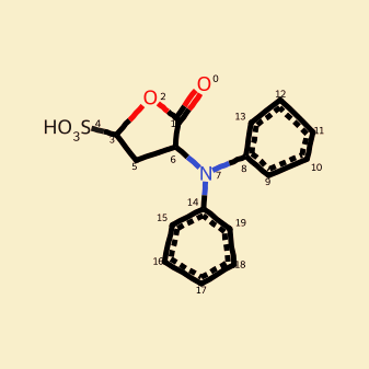 O=C1OC(S(=O)(=O)O)CC1N(c1ccccc1)c1ccccc1